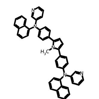 Cn1c(-c2ccc(N(c3cccnc3)c3cccc4ccccc34)cc2)ccc1-c1ccc(N(c2cccnc2)c2cccc3ccccc23)cc1